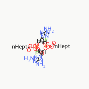 CCCCCCCC(=O)OCOP1(=O)OC[C@H]2O[C@@H](n3cnc4c(N)nc(N)nc43)C(F)[C@H]2OP(=O)(OCOC(=O)CCCCCCC)OC[C@H]2C[C@@H](n3cnc4c(N)ncnc43)C(F)[C@H]2O1